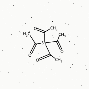 C[C](=O)[Sn]([C](C)=O)([C](C)=O)[C](C)=O